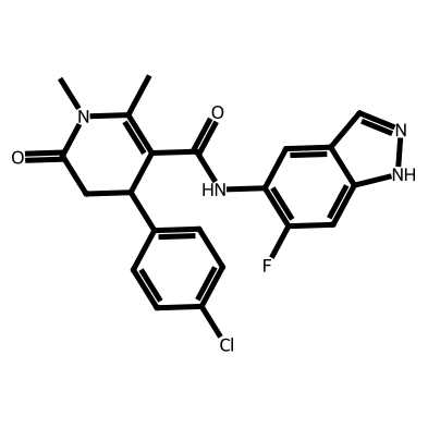 CC1=C(C(=O)Nc2cc3cn[nH]c3cc2F)C(c2ccc(Cl)cc2)CC(=O)N1C